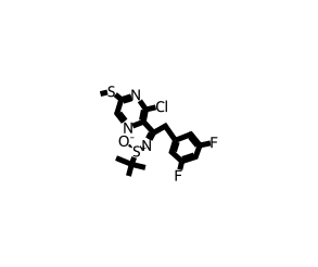 CSc1cnc(/C(Cc2cc(F)cc(F)c2)=N\[S@@+]([O-])C(C)(C)C)c(Cl)n1